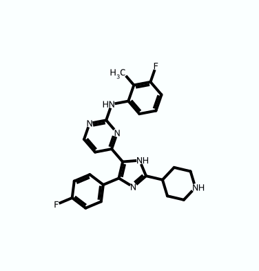 Cc1c(F)cccc1Nc1nccc(-c2[nH]c(C3CCNCC3)nc2-c2ccc(F)cc2)n1